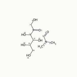 CN(C)C=O.O=C(CO)C(O)C(O)C(O)CO